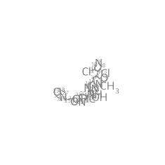 Cn1c(=O)c(-c2c(Cl)cncc2Cl)cc2cnc(Nc3ccc(OCCN4CCOCC4)nc3)nc21.O=CO